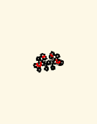 c1ccc(-c2cccc(-c3ccccc3)c2N2c3ccccc3B3c4cc5c(cc4N(c4ccccc4)c4cc(N6C7CC8CC(C7)CC6C8)cc2c43)N(c2ccccc2)c2cc(-n3c4ccccc4c4ccccc43)cc3c2B5c2ccccc2N3c2c(-c3ccccc3)cccc2-c2ccccc2)cc1